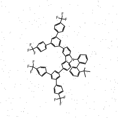 CC(C)(C)c1ccccc1-c1ccccc1-n1c2ccc(-c3cc(-c4ccc(C(F)(F)F)cc4)cc(-c4ccc(C(F)(F)F)cc4)c3)cc2c2cc(-c3cc(-c4ccc(C(F)(F)F)cc4)cc(-c4ccc(C(F)(F)F)cc4)c3)ccc21